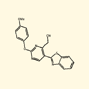 COc1ccc(Oc2ncc(-c3nc4ccccc4s3)c(CC#N)n2)cc1